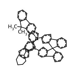 CC1(C)c2ccccc2-c2ccc(N(c3ccc(C4CCCCC4)cc3)c3ccc4c(c3)C3(c5ccccc5-c5ccc(N(c6ccccc6)c6ccccc6)cc53)c3ccccc3-4)cc21